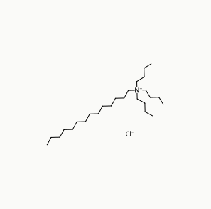 CCCCCCCCCCCCCC[N+](CCCC)(CCCC)CCCC.[Cl-]